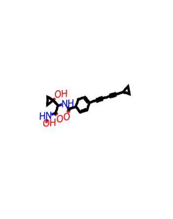 O=C(NC(C(=O)NO)C1(O)CC1)C1C=CC(C#CC#CC2CC2)=CC1